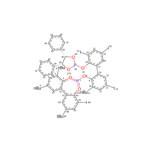 CCCCc1cc(CCCC)c2op(Oc3c(CCCC)cc(I)cc3-c3cc(I)cc(I)c3OP3O[C@H](c4ccccc4)[C@H](c4ccccc4)O3)oc3c(I)cc(C(C)(C)C)cc3c2c1